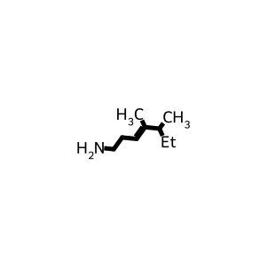 CCC(C)C(C)=CCCN